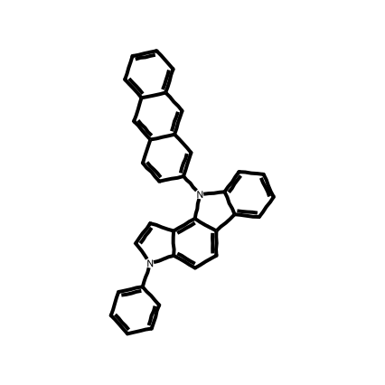 c1ccc(-n2ccc3c2ccc2c4ccccc4n(-c4ccc5cc6ccccc6cc5c4)c23)cc1